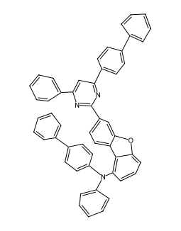 c1ccc(-c2ccc(-c3cc(-c4ccccc4)nc(-c4ccc5c(c4)oc4cccc(N(c6ccccc6)c6ccc(-c7ccccc7)cc6)c45)n3)cc2)cc1